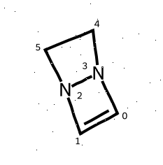 c1cn2n1CC2